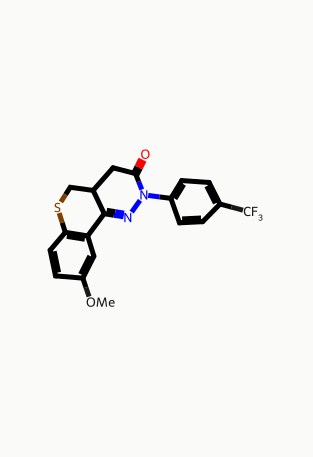 COc1ccc2c(c1)C1=NN(c3ccc(C(F)(F)F)cc3)C(=O)CC1CS2